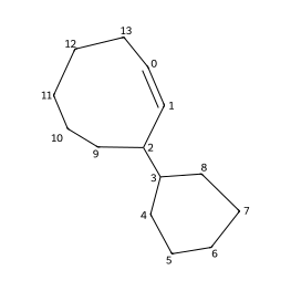 C1=C\C(C2CCCCC2)CCCCC/1